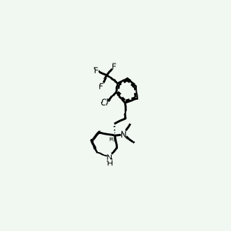 CN(C)[C@]1(CCc2cccc(C(F)(F)F)c2Cl)CCCNC1